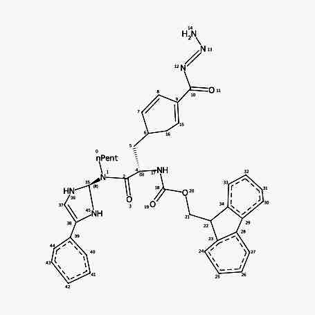 CCCCCN(C(=O)[C@H](CC1C=CC(C(=O)N=NN)=CC1)NC(=O)OCC1c2ccccc2-c2ccccc21)[C@@H]1NC=C(c2ccccc2)N1